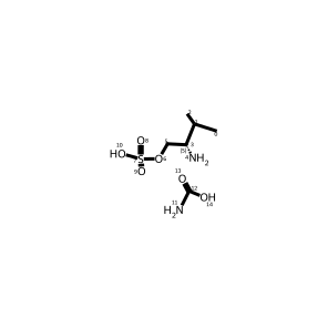 CC(C)[C@H](N)COS(=O)(=O)O.NC(=O)O